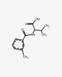 Cc1cccc(C(=O)NC(C(=O)O)C(C)C)c1